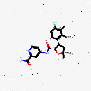 COc1c([C@H]2C[C@@](C)(C(F)(F)F)O[C@@H]2C(=O)Nc2ccnc(C(N)=O)c2)ccc(F)c1C